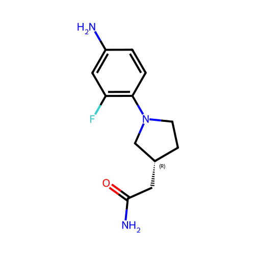 NC(=O)C[C@H]1CCN(c2ccc(N)cc2F)C1